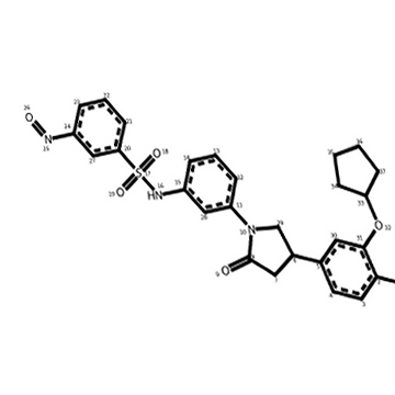 COc1ccc(C2CC(=O)N(c3cccc(NS(=O)(=O)c4cccc(N=O)c4)c3)C2)cc1OC1CCCC1